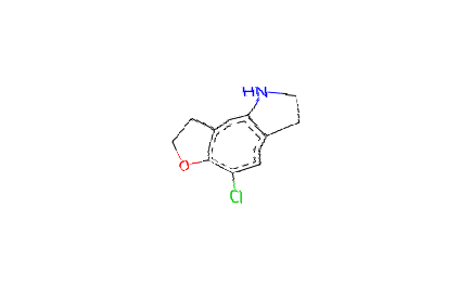 Clc1cc2c(c3c1OCC3)NCC2